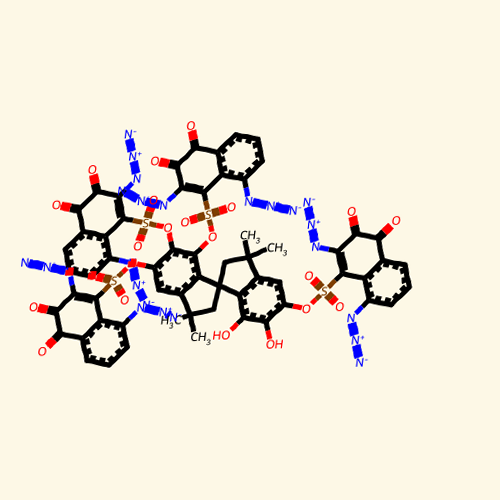 CC1(C)CC2(CC(C)(C)c3cc(OS(=O)(=O)C4=C(N=[N+]=[N-])C(=O)C(=O)c5cccc(N=[N+]=[N-])c54)c(OS(=O)(=O)C4=C(N=[N+]=[N-])C(=O)C(=O)c5cccc(N=[N+]=[N-])c54)c(OS(=O)(=O)C4=C(N=[N+]=[N-])C(=O)C(=O)c5cccc(N=[N+]=[N-])c54)c32)c2c1cc(OS(=O)(=O)C1=C(N=[N+]=[N-])C(=O)C(=O)c3cccc(N=[N+]=[N-])c31)c(O)c2O